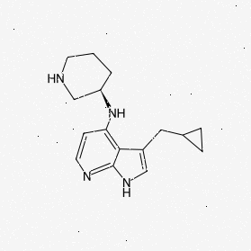 c1cc(N[C@@H]2CCCNC2)c2c(CC3CC3)c[nH]c2n1